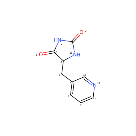 O=C1NC(=O)C(Cc2cccnc2)N1